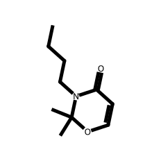 CCCCN1C(=O)C=COC1(C)C